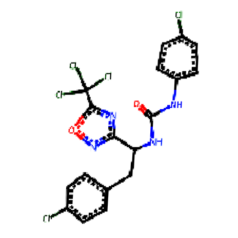 O=C(Nc1ccc(Cl)cc1)NC(Cc1ccc(Cl)cc1)c1noc(C(Cl)(Cl)Cl)n1